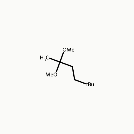 COC(C)(CCC(C)(C)C)OC